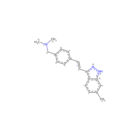 Cc1ccc2c(/C=C/c3ccc(CN(C)C)cc3)n[nH]c2c1